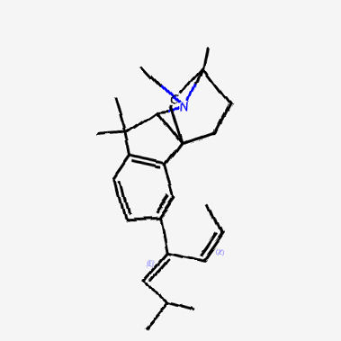 C/C=C\C(=C/C(C)C)c1ccc2c(c1)C13CCC(C)(CC1)N(C)C3C2(C)C